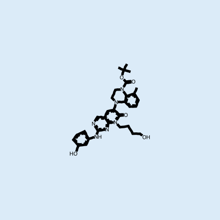 Cc1cccc2c1N(C(=O)OC(C)(C)C)CCN2c1cc2cnc(Nc3cccc(O)c3)nc2n(CCCCO)c1=O